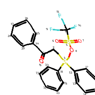 O=C(CS(OS(=O)(=O)C(F)(F)F)(c1ccccc1)c1ccccc1)c1ccccc1